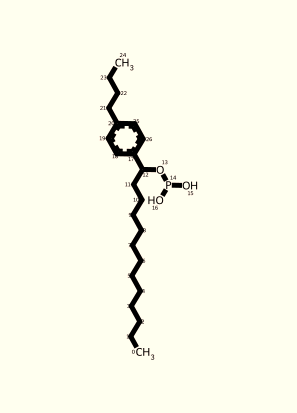 CCCCCCCCCCCCC(OP(O)O)c1ccc(CCCC)cc1